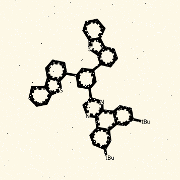 CC(C)(C)c1ccc2c(c1)c1cc(C(C)(C)C)ccc1c1nc(-c3cc(-c4cccc5c4sc4ccccc45)cc(-c4cccc5c4sc4ccccc45)c3)cnc21